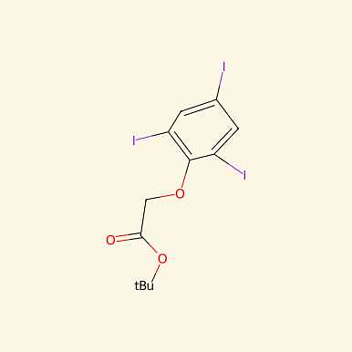 CC(C)(C)OC(=O)COc1c(I)cc(I)cc1I